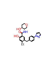 CCc1cc(O)c(C(=O)N[C@H]2COCC[C@@H]2O)cc1Cc1ccc(-n2cccn2)cc1